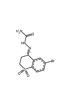 NC(=S)N/N=C1\CCS(=O)(=O)c2ccc(Br)cc21